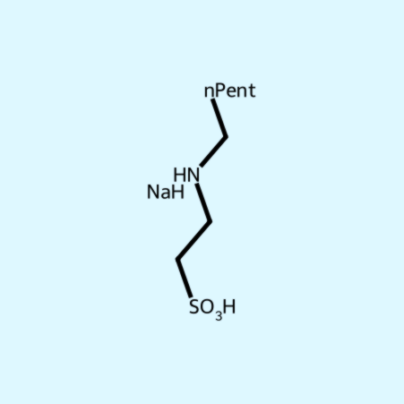 CCCCCCNCCS(=O)(=O)O.[NaH]